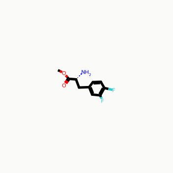 COC(=O)[C@H](N)Cc1ccc(F)c(F)c1